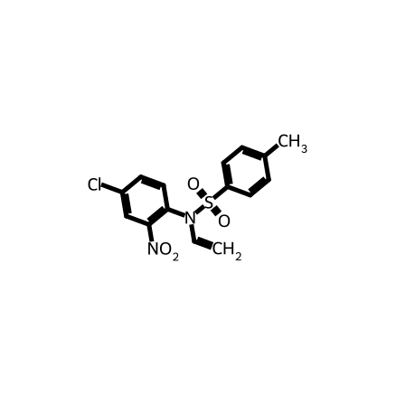 C=CN(c1ccc(Cl)cc1[N+](=O)[O-])S(=O)(=O)c1ccc(C)cc1